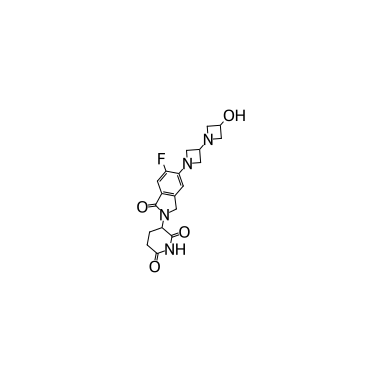 O=C1CCC(N2Cc3cc(N4CC(N5CC(O)C5)C4)c(F)cc3C2=O)C(=O)N1